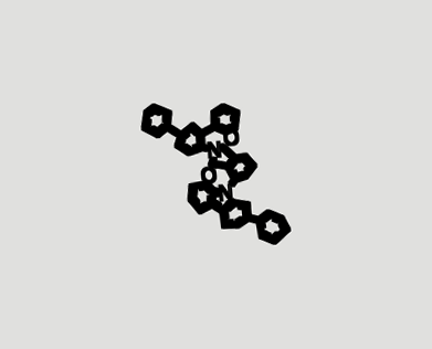 O=C1c2cccc(-n3c4ccccc4c4ccc(-c5ccccc5)cc43)c2C(=O)N1c1ccc(-c2ccccc2)cc1-c1ccccc1